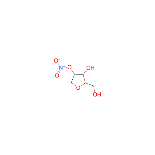 O=[N+]([O-])OC1COC(CO)C1O